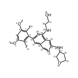 COc1cc(OC)c(F)c(-c2cc3cnc(NC4CCOC4)cc3c(NCCO)n2)c1F